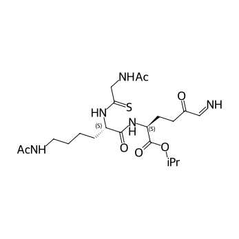 CC(=O)NCCCC[C@H](NC(=S)CNC(C)=O)C(=O)N[C@@H](CCC(=O)C=N)C(=O)OC(C)C